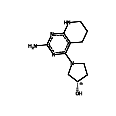 Nc1nc2c(c(N3CC[C@H](O)C3)n1)CCCN2